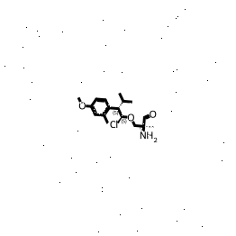 COc1ccc([C@H](C(C)C)[C@H](Cl)OC[C@](C)(N)C=O)c(C)c1